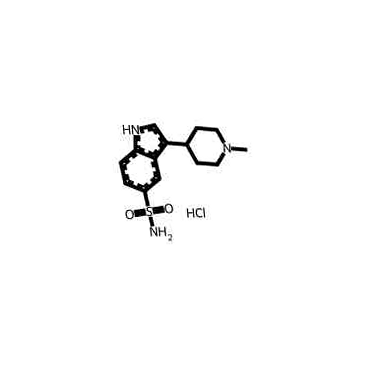 CN1CCC(c2c[nH]c3ccc(S(N)(=O)=O)cc23)CC1.Cl